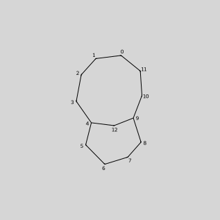 C1CCCC2CCCCC(CC1)C2